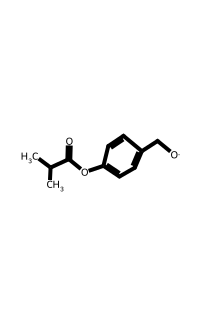 CC(C)C(=O)Oc1ccc(C[O])cc1